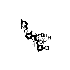 Cc1ccc(COc2ccc3[nH]c(C(O)(Cc4cccc(Cl)c4)C(=O)O)c(SC(C)(C)C)c3c2C)nc1